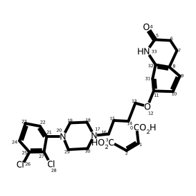 O=C(O)/C=C\C(=O)O.O=C1CCc2ccc(OCCCCN3CCN(c4cccc(Cl)c4Cl)CC3)cc2N1